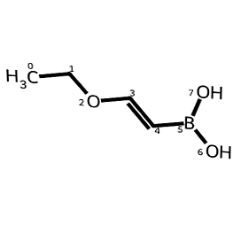 CCOC=CB(O)O